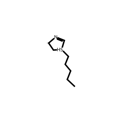 CCCCC[SH]1C=N[CH]C1